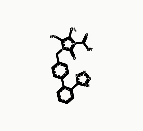 CCCC(=O)n1c(C)c(CCC)n(Cc2ccc(-c3ccccc3-c3nnn[nH]3)cc2)c1=O